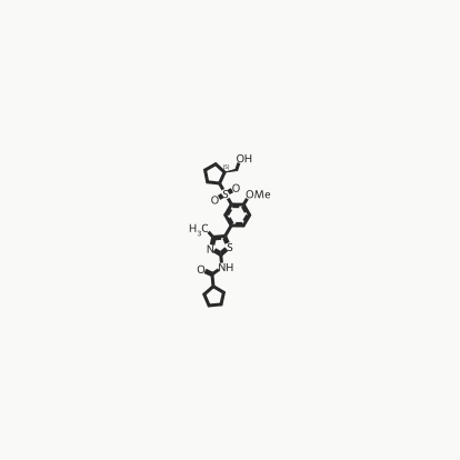 COc1ccc(-c2sc(NC(=O)C3CCCC3)nc2C)cc1S(=O)(=O)C1CCC[C@H]1CO